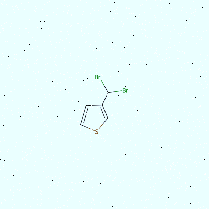 BrC(Br)c1ccsc1